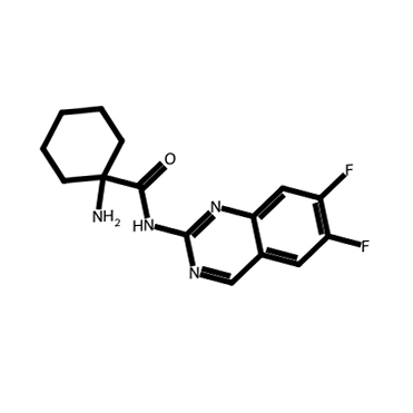 NC1(C(=O)Nc2ncc3cc(F)c(F)cc3n2)CCCCC1